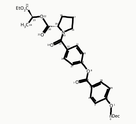 CCCCCCCCCCOc1ccc(C(=O)Oc2ccc(C(=O)N3CCC[C@H]3C(=O)O[C@@H](C)C(=O)OCC)cc2)cc1